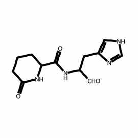 O=[C]C(Cc1c[nH]cn1)NC(=O)C1CCCC(=O)N1